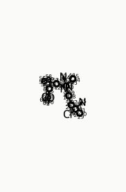 CC1(C)OB(c2ccc(C3(c4ccc(-c5nc(-c6ccc(-c7ccc8c(Cl)c9ccccc9c(C#N)c8c7)cc6)nc(-c6ccccc6)c5C#N)cc4)C4CC5CC4CC53)cc2)OC1(C)C